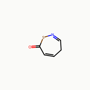 O=C1C=CCC=NS1